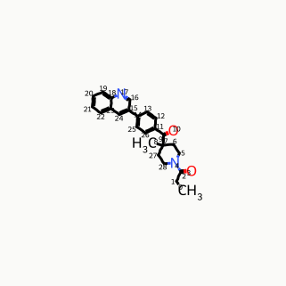 CCC(=O)N1CCC(C)(C(=O)c2ccc(-c3cnc4ccccc4c3)cc2)CC1